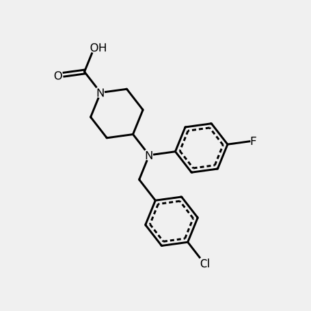 O=C(O)N1CCC(N(Cc2ccc(Cl)cc2)c2ccc(F)cc2)CC1